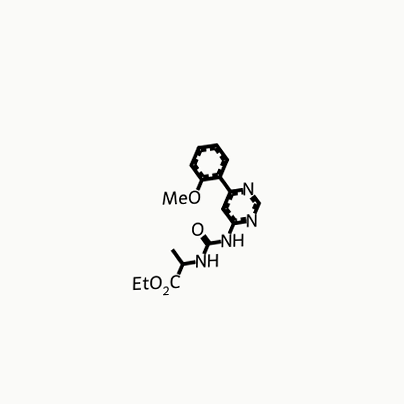 CCOC(=O)C(C)NC(=O)Nc1cc(-c2ccccc2OC)ncn1